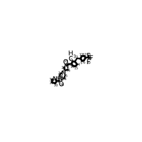 Cc1c(Cc2ccc(C(F)(F)F)cc2)cccc1C(=O)N1CC(N2CCN(C(=O)c3ccc[nH]3)CC2)C1